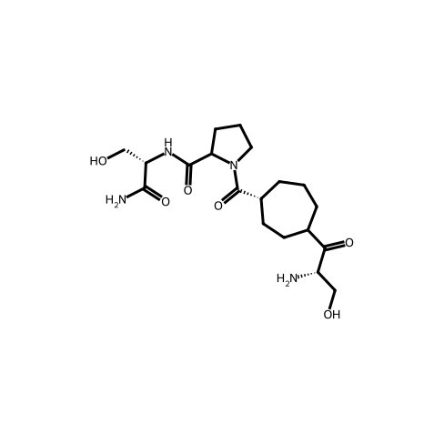 NC(=O)[C@H](CO)NC(=O)C1CCCN1C(=O)[C@@H]1CCCC(C(=O)[C@@H](N)CO)CC1